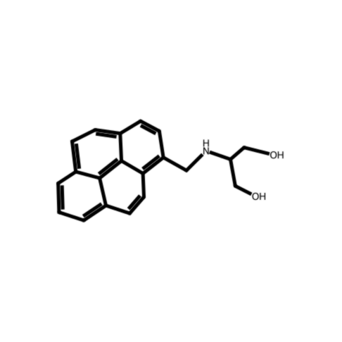 OCC(CO)NCc1ccc2ccc3cccc4ccc1c2c34